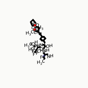 C=C/C(F)=C(\C=N)CNC[C@H](O)[C@H](Cc1ccc(C#Cc2ccc(N3CC4CCC(C3)N4C(=O)OC(C)(C)C)nc2)cc1)NC(=O)[C@@H](NC(=O)OC)C(C)(C)C(F)(F)F